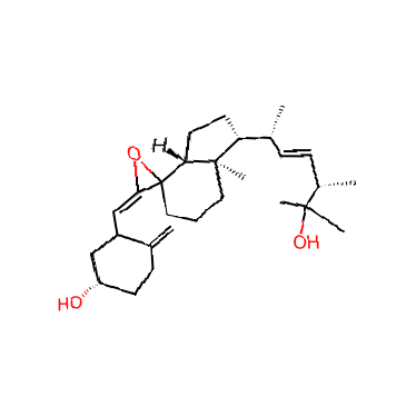 C=C1CC[C@H](O)CC1/C=C1/OC12CCC[C@]1(C)[C@@H]([C@H](C)/C=C/[C@H](C)C(C)(C)O)CC[C@@H]21